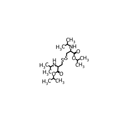 CC(C)NC(CSSCC(NC(C)C)C(=O)OC(C)C)C(=O)OC(C)C